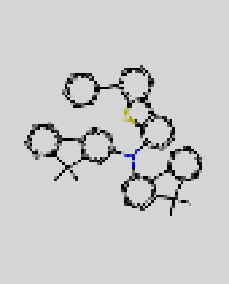 CC1(C)c2ccccc2-c2ccc(N(c3cccc4c3-c3ccccc3C4(C)C)c3cccc4c3sc3c(-c5ccccc5)cccc34)cc21